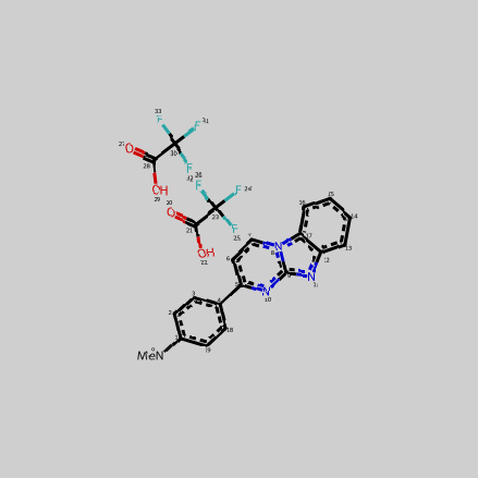 CNc1ccc(-c2ccn3c(n2)nc2ccccc23)cc1.O=C(O)C(F)(F)F.O=C(O)C(F)(F)F